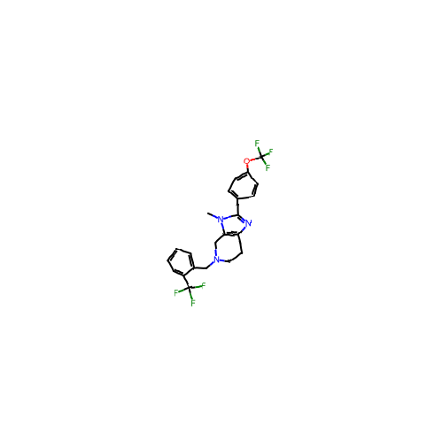 Cn1c(-c2ccc(OC(F)(F)F)cc2)nc2c1CN(Cc1ccccc1C(F)(F)F)CC2